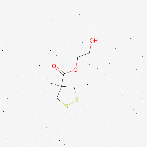 CC1(C(=O)OCCO)CSSC1